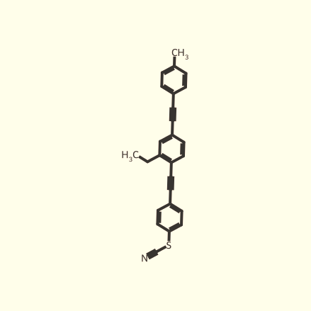 CCc1cc(C#Cc2ccc(C)cc2)ccc1C#Cc1ccc(SC#N)cc1